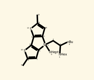 CCCCCCC[Si]1(CC(CCCC)CCCCCC)c2cc(C)sc2-c2sc(C)cc21